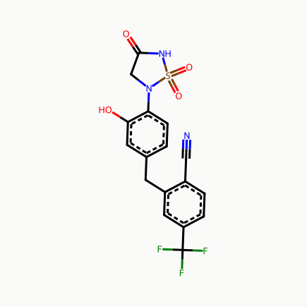 N#Cc1ccc(C(F)(F)F)cc1Cc1ccc(N2CC(=O)NS2(=O)=O)c(O)c1